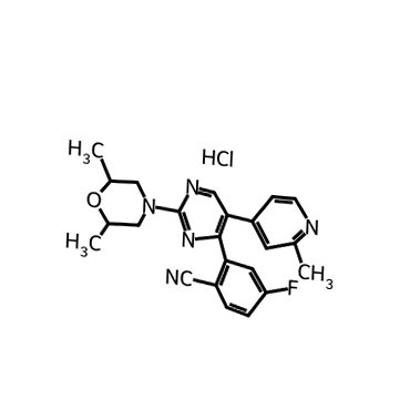 Cc1cc(-c2cnc(N3CC(C)OC(C)C3)nc2-c2cc(F)ccc2C#N)ccn1.Cl